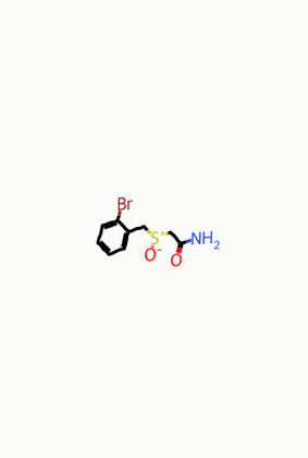 NC(=O)C[S+]([O-])Cc1ccccc1Br